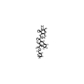 Cc1cc(C)c(CNC(=O)c2cc3cccn3c(C(C)OCc3cccs3)c2C)c(=O)[nH]1